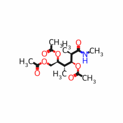 CNC(=O)[C@H](C)[C@@H](OC(C)=O)[C@H](C)[C@@H](COC(C)=O)OC(C)=O